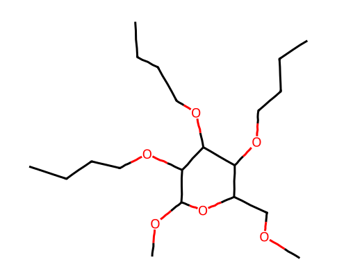 CCCCOC1C(COC)OC(OC)C(OCCCC)C1OCCCC